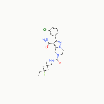 CCC1(F)CC(C)(CNC(=O)N2CCn3nc(-c4cccc(Cl)c4)c(C(N)=O)c3C2)C1